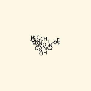 CC(C)c1nn([C@H](OC=O)C(=O)NC2CCCN(CC3CC(F)(F)C3)C2)c(=O)c2cc3ccsc3n12